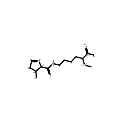 CNC(CCCCNC(=O)C1N=CCC1C)C(C)=O